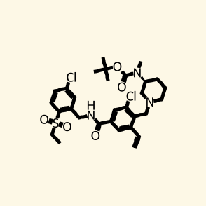 C=Cc1cc(C(=O)NCc2cc(Cl)ccc2S(=O)(=O)CC)cc(Cl)c1CN1CCC[C@H](N(C)C(=O)OC(C)(C)C)C1